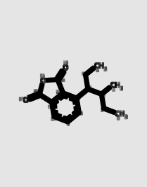 CCC(C)C(CC)c1cccc2c1C(=O)OC2=O